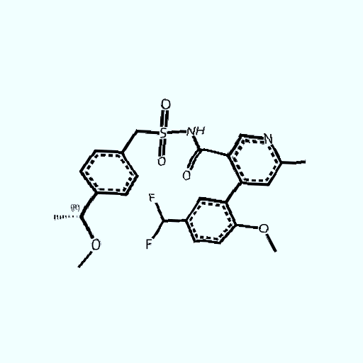 COc1ccc(C(F)F)cc1-c1cc(C)ncc1C(=O)NS(=O)(=O)Cc1ccc([C@@H](C)OC)cc1